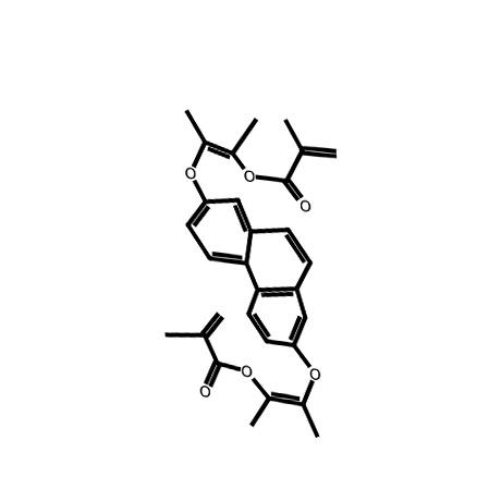 C=C(C)C(=O)OC(C)=C(C)Oc1ccc2c(ccc3cc(OC(C)=C(C)OC(=O)C(=C)C)ccc32)c1